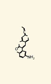 CC=C=C(C)\C=C(C)/C(=C\C)/C=C(\C(C)=O)c1cc(N)ccc1C